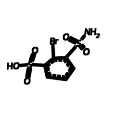 NS(=O)(=O)c1cccc(S(=O)(=O)O)c1Br